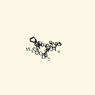 C[C@@H]1NP(=O)(Oc2ccccc2)OC[C@H]2O[C@@H](n3ccc(=O)[nH]c3=O)[C@](C)(F)[C@@H]2OC(=O)[C@H](C)OC1=O